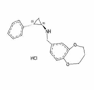 Cl.c1ccc([C@@H]2C[C@H]2NCc2ccc3c(c2)OCCCO3)cc1